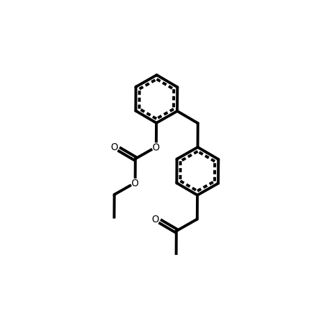 CCOC(=O)Oc1ccccc1Cc1ccc(CC(C)=O)cc1